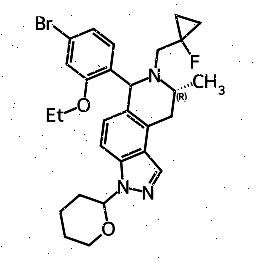 CCOc1cc(Br)ccc1C1c2ccc3c(cnn3C3CCCCO3)c2C[C@@H](C)N1CC1(F)CC1